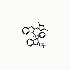 Cc1cc(C)n(C2=Cc3ccccc3[CH]2[Zr+2][C]2(n3cccc3)C=Cc3ccccc32)c1.[Cl-].[Cl-]